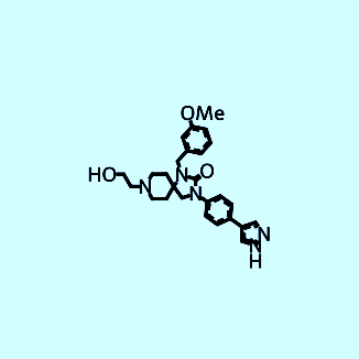 COc1cccc(CN2C(=O)N(c3ccc(-c4cn[nH]c4)cc3)CC23CCN(CCO)CC3)c1